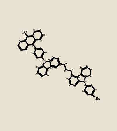 CCc1c2ccccc2c(-c2ccc(-n3c4ccccc4c4cc(CCCc5cccc6c5c5c(n6-c6ccc(C(C)(C)C)cc6)CCC=C5)ccc43)cc2)c2ccccc12